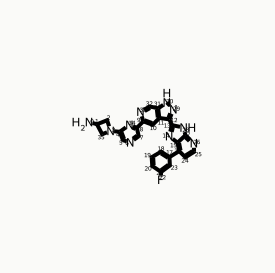 NC1CN(c2cncc(-c3cc4c(-c5nc6c(-c7cccc(F)c7)ccnc6[nH]5)n[nH]c4cn3)n2)C1